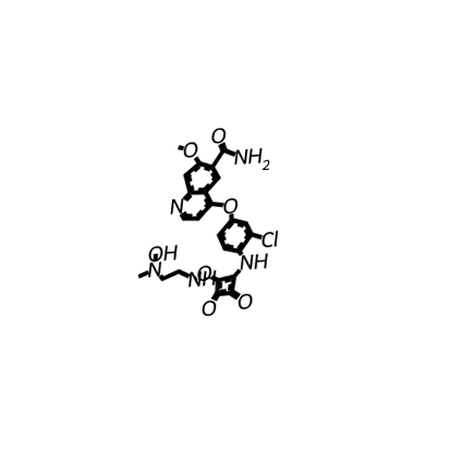 COc1cc2nccc(Oc3ccc(Nc4c(ONCCN(C)O)c(=O)c4=O)c(Cl)c3)c2cc1C(N)=O